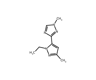 CCn1nc(C)cc1-c1ncn(C)n1